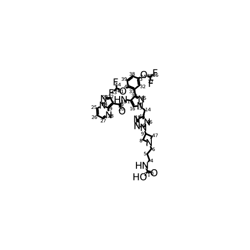 O=C(O)NCCCN1CC(n2nnc(Cn3cc(NC(=O)c4cnn5cccnc45)c(-c4cc(OC(F)F)ccc4OC(F)F)n3)n2)C1